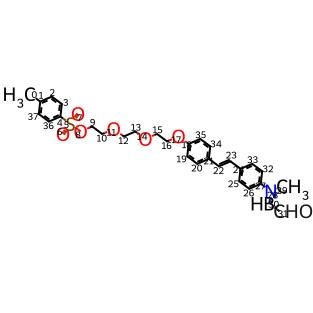 Cc1ccc(S(=O)(=O)OCCOCCOCCOc2ccc(/C=C/c3ccc(N(C)BC=O)cc3)cc2)cc1